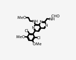 COCCNc1nc(-c2c(Cl)c(OC)cc(OC)c2Cl)cc2cnc(CNC=O)nc12